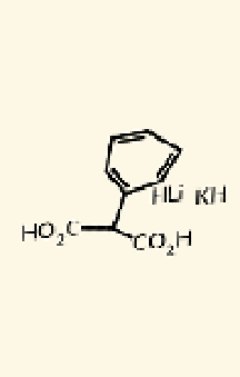 O=C(O)C(C(=O)O)c1ccccc1.[KH].[LiH]